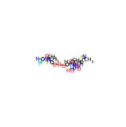 Cc1ncsc1-c1ccc(CNC(=O)[C@@H]2C[C@@H](O)CN2C(=O)[C@@H](NC(=O)c2ccc(OCCOCCOc3ccc(N4C(=S)N(c5ccc(C#N)c(C(F)(F)F)c5)C(=O)C4(C)C)cc3)cc2)C(C)(C)C)cc1